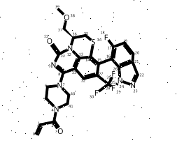 C=CC(=O)N1CCN(c2nc(=O)n3c4c(c(-c5c(F)ccc6cnn(C)c56)c(C(F)(F)F)cc24)SC[C@@H]3COC)CC1